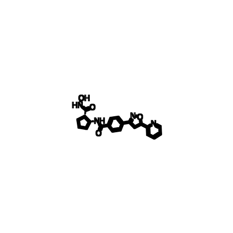 O=C(N[C@@H]1CCC[C@@H]1C(=O)NO)c1ccc(C2=NOC(c3ccccn3)C2)cc1